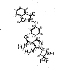 COc1ccccc1C(=O)NCC1=CCC(c2nn(C3CNC(F)(F)C3)c(N)c2C(N)=O)C=C1